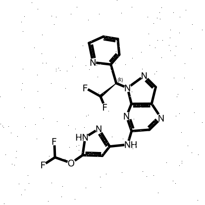 FC(F)Oc1cc(Nc2cnc3cnn([C@H](c4ccccn4)C(F)F)c3n2)n[nH]1